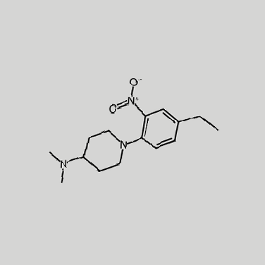 CCc1ccc(N2CCC(N(C)C)CC2)c([N+](=O)[O-])c1